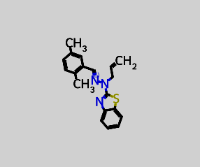 C=CCN(/N=C/c1cc(C)ccc1C)c1nc2ccccc2s1